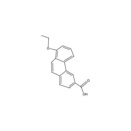 CCOc1cccc2c1ccc1ccc(C(=O)O)cc12